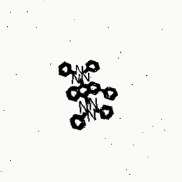 c1ccc(-c2ccc3c(-c4nc(-c5ccccc5)nc(-c5ccccc5)n4)c4ccccc4c(-c4nc(-c5ccccc5)nc(-c5ccccc5)n4)c3c2)cc1